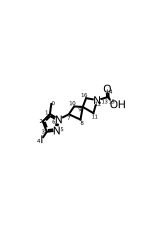 Cc1cc(I)nn1C1CC2(C1)CN(C(=O)O)C2